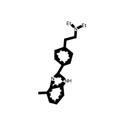 CCN(CC)CCc1ccc(-c2nc3c(C)cccc3[nH]2)cc1